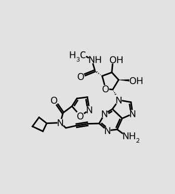 CNC(=O)[C@H]1O[C@@H](n2cnc3c(N)nc(C#CCN(C(=O)c4ccno4)C4CCC4)nc32)[C@H](O)C1O